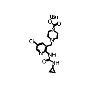 CC(C)(C)OC(=O)N1CCN(Cc2cc(Cl)cnc2NC(=O)NC2CC2)CC1